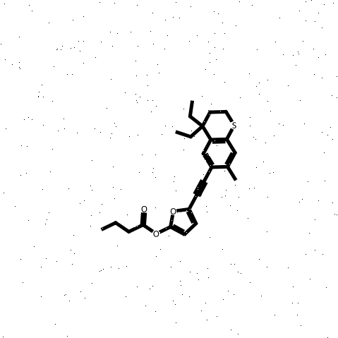 CCCC(=O)Oc1ccc(C#Cc2cc3c(cc2C)SCCC3(CC)CC)o1